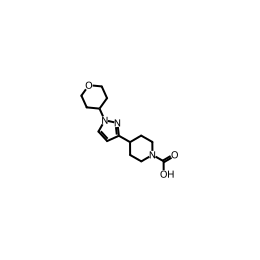 O=C(O)N1CCC(c2ccn(C3CCOCC3)n2)CC1